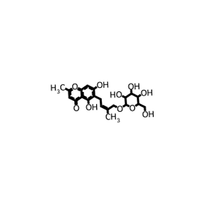 C/C(=C/Cc1c(O)cc2oc(C)cc(=O)c2c1O)COC1OC(CO)C(O)C(O)C1O